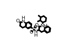 CC1CCCC(NC(=O)C(Cc2ccccc2)NS(=O)(=O)c2ccc3c(c2)CCC(=O)N3)C1C